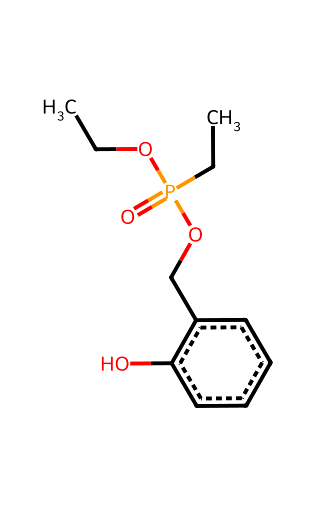 CCOP(=O)(CC)OCc1ccccc1O